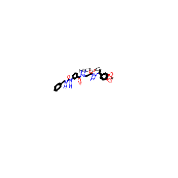 O=C(O)CC(NC(=O)CNC(=O)c1cccc(NC(=O)NCc2ccccc2)c1)c1ccc2c(c1)OCO2